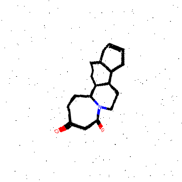 O=C1CCC2C3CCC4C=CCC4C3CCN2C(=O)C1